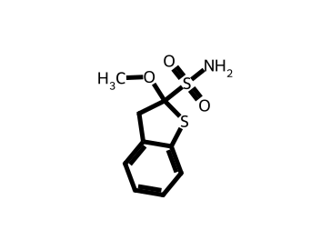 COC1(S(N)(=O)=O)Cc2ccccc2S1